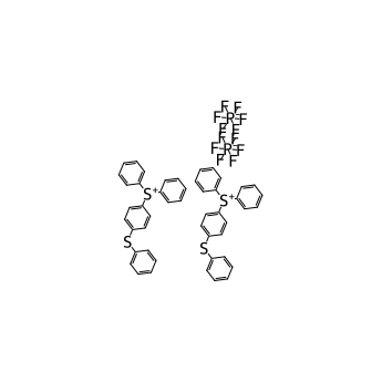 F[P-](F)(F)(F)(F)F.F[P-](F)(F)(F)(F)F.c1ccc(Sc2ccc([S+](c3ccccc3)c3ccccc3)cc2)cc1.c1ccc(Sc2ccc([S+](c3ccccc3)c3ccccc3)cc2)cc1